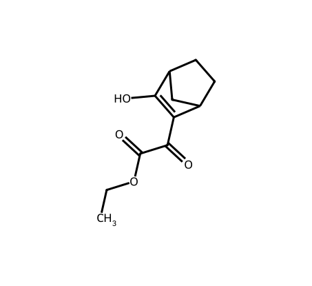 CCOC(=O)C(=O)C1=C(O)C2CCC1C2